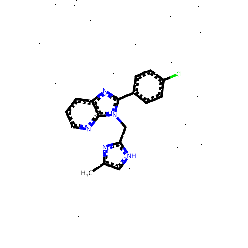 Cc1c[nH]c(Cn2c(-c3ccc(Cl)cc3)nc3cccnc32)n1